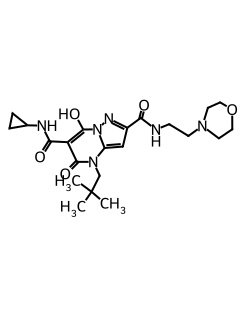 CC(C)(C)Cn1c(=O)c(C(=O)NC2CC2)c(O)n2nc(C(=O)NCCN3CCOCC3)cc12